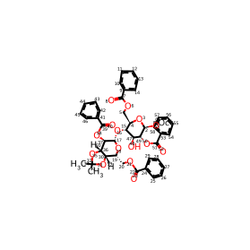 CCCCCCCCO[C@@H]1O[C@H](COC(=O)c2ccccc2)[C@@H](O[C@@H]2O[C@H](COC(=O)c3ccccc3)[C@@H]3OC(C)(C)O[C@@H]3[C@H]2OC(=O)c2ccccc2)[C@H](O)[C@H]1OC(=O)c1ccccc1